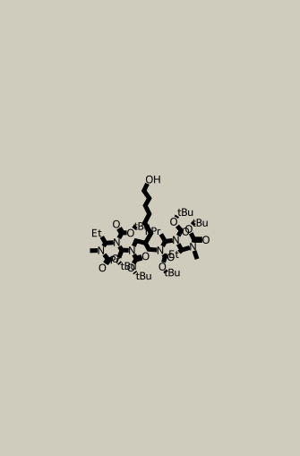 CCCC(N(CC(CCCCCCO)CN(C(=O)OC(C)(C)C)C(CCC)N(C(=O)OC(C)(C)C)C(CC)N(C)C(=O)OC(C)(C)C)C(=O)OC(C)(C)C)N(C(=O)OC(C)(C)C)C(CC)N(C)C(=O)OC(C)(C)C